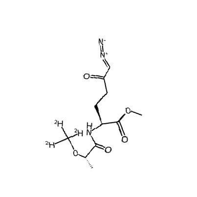 [2H]C([2H])([2H])O[C@@H](C)C(=O)N[C@@H](CCC(=O)C=[N+]=[N-])C(=O)OC